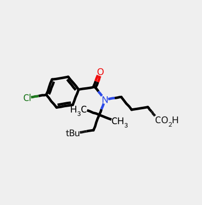 CC(C)(C)CC(C)(C)N(CCCC(=O)O)C(=O)c1ccc(Cl)cc1